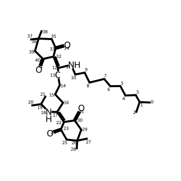 CC(C)CCCCCCCCNC(CCCCC(NC(C)C)=C1C(=O)CC(C)(C)CC1=O)=C1C(=O)CC(C)(C)CC1=O